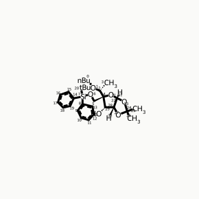 CCCCO[C@H](C)[C@]1(CO[Si](c2ccccc2)(c2ccccc2)C(C)(C)C)O[C@@H]2OC(C)(C)O[C@@H]2[C@@H]1O